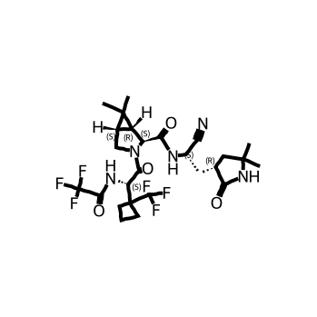 CC1(C)C[C@@H](C[C@@H](C#N)NC(=O)[C@@H]2[C@@H]3[C@H](CN2C(=O)[C@@H](NC(=O)C(F)(F)F)C2(C(F)(F)F)CCC2)C3(C)C)C(=O)N1